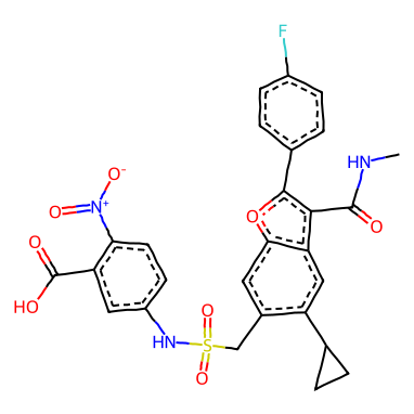 CNC(=O)c1c(-c2ccc(F)cc2)oc2cc(CS(=O)(=O)Nc3ccc([N+](=O)[O-])c(C(=O)O)c3)c(C3CC3)cc12